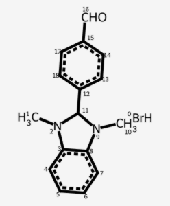 Br.CN1c2ccccc2N(C)C1c1ccc(C=O)cc1